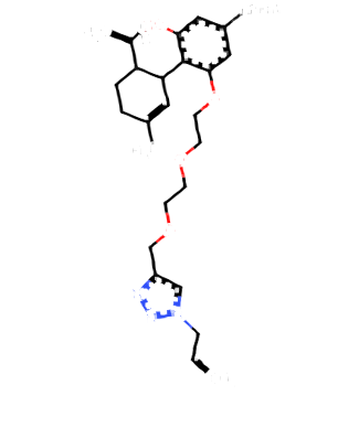 C=CCn1cc(COCCOCCOc2cc(CCCCC)cc(O)c2C2C=C(C)CCC2C(=C)C)nn1